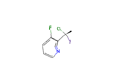 C[C@@](Cl)(I)c1ncccc1F